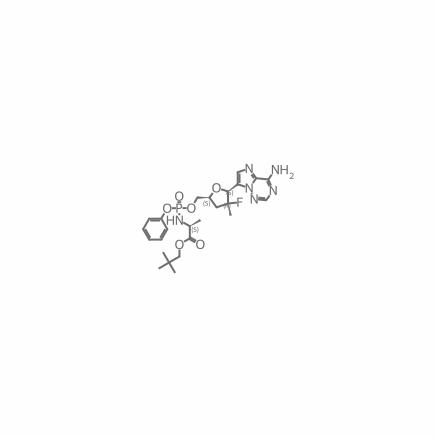 C[C@H](NP(=O)(OC[C@@H]1C[C@@](C)(F)[C@H](c2cnc3c(N)ncnn23)O1)Oc1ccccc1)C(=O)OCC(C)(C)C